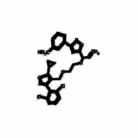 C=CC(OCCOCc1c(-c2c(Cl)cccc2Cl)noc1C1CC1)c1nc(-c2cccc(C(=O)O)c2)no1